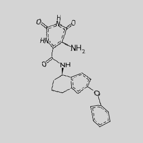 Nc1c(C(=O)N[C@@H]2CCCc3cc(Oc4ccccc4)ccc32)[nH]c(=O)[nH]c1=O